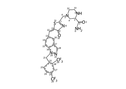 NC(=O)C1CN(CC2=NC(=O)C(=Cc3ccc4c(cnn4Cc4ccc(C(F)(F)F)cc4C(F)(F)F)c3)S2)CCN1